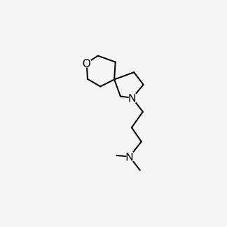 CN(C)CCCN1CCC2(CCOCC2)C1